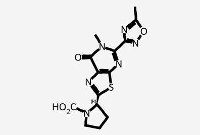 Cc1nc(-c2nc3sc([C@H]4CCCN4C(=O)O)nc3c(=O)n2C)no1